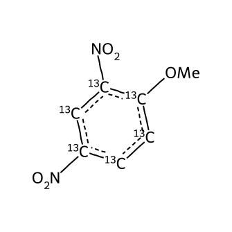 CO[13c]1[13cH][13cH][13c]([N+](=O)[O-])[13cH][13c]1[N+](=O)[O-]